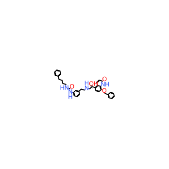 O=C(NCCCCc1ccccc1)Nc1cccc(CCNC[C@H](O)c2ccc(OCc3ccccc3)c3[nH]c(=O)ccc23)c1